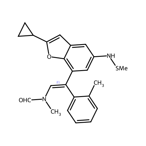 CSNc1cc(/C(=C/N(C)C=O)c2ccccc2C)c2oc(C3CC3)cc2c1